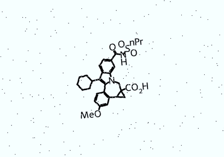 CCCS(=O)(=O)NC(=O)c1ccc2c(C3CCCCC3)c3n(c2c1)CC1(C(=O)O)CC1c1cc(OC)ccc1-3